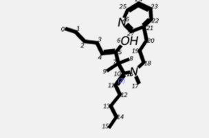 CCCCC=C(O)C(C)(C)/C(=C/CCCC)N(C)CCCC1=CC=C=CN=C1